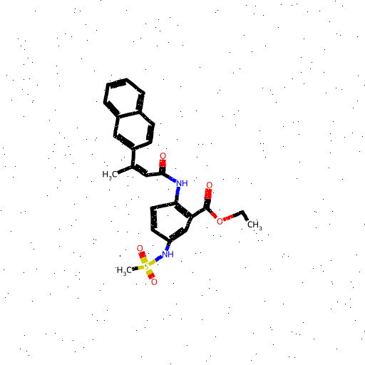 CCOC(=O)c1cc(NS(C)(=O)=O)ccc1NC(=O)/C=C(/C)c1ccc2ccccc2c1